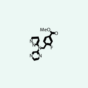 COC(=O)c1ccc(CN(c2cnccn2)c2cccnn2)c(F)c1